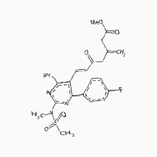 C=C(CC(=O)/C=C/c1c(-c2ccc(F)cc2)nc(N(C)S(C)(=O)=O)nc1C(C)C)CC(=O)OC